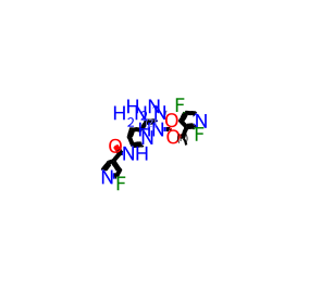 C[C@@H](OC(=O)N/C(=C(/N)c1ccc(NC(=O)c2ccnc(F)c2)cn1)N(C)N)c1cc(F)cnc1F